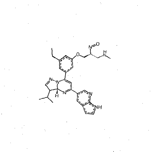 CCc1cc(OC[C@H](CNC)N=O)cc(C2=CC(c3cnc4[nH]ccc4c3)=N[C@@H]3C(C(C)C)C=NN23)c1